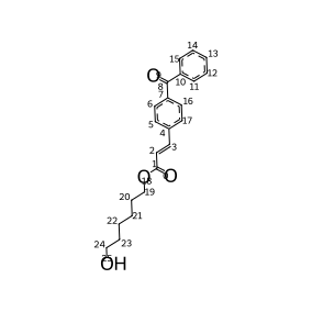 O=C(C=Cc1ccc(C(=O)c2ccccc2)cc1)OCCCCCCO